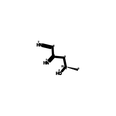 C[C@H](O)CC(=N)C=N